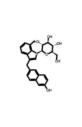 Cc1cccc2c(Cc3ccc4cc(O)ccc4c3)cn([C@@H]3O[C@H](CO)[C@@H](O)[C@H](O)[C@H]3O)c12